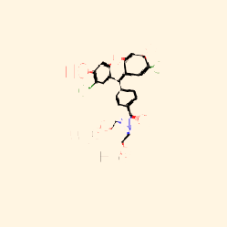 COCCN(CCOC)C(=O)c1ccc(-c2c3cc(Cl)c(=O)cc-3oc3cc(O)c(Cl)cc23)cc1